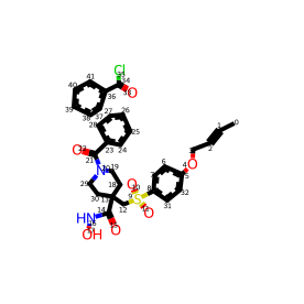 CC#CCOc1ccc(S(=O)(=O)CC2(C(=O)NO)CCN(C(=O)c3ccccc3)CC2)cc1.O=C(Cl)c1ccccc1